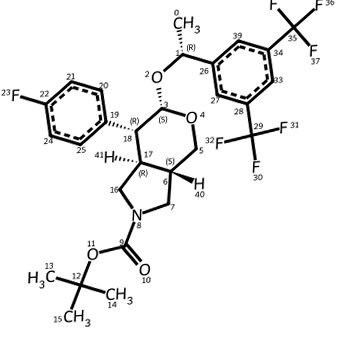 C[C@@H](O[C@@H]1OC[C@@H]2CN(C(=O)OC(C)(C)C)C[C@H]2[C@@H]1c1ccc(F)cc1)c1cc(C(F)(F)F)cc(C(F)(F)F)c1